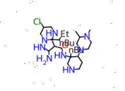 CCCCC(CC)C12NCC(Cl)CN1NC(N)C2C(=O)NC1(CCCC)CNCCC1N1CCN(C)C(C)C1